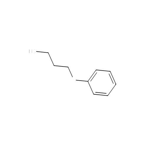 SCCCSc1ccccc1